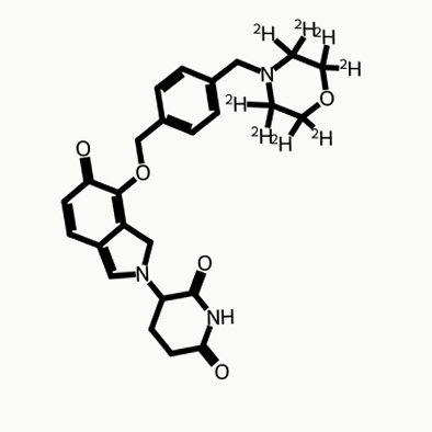 [2H]C1([2H])OC([2H])([2H])C([2H])([2H])N(Cc2ccc(COC3=C4CN(C5CCC(=O)NC5=O)C=C4C=CC3=O)cc2)C1([2H])[2H]